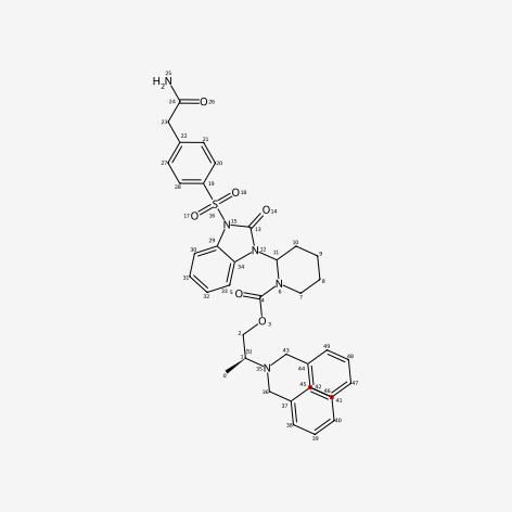 C[C@@H](COC(=O)N1CCCCC1n1c(=O)n(S(=O)(=O)c2ccc(CC(N)=O)cc2)c2ccccc21)N(Cc1ccccc1)Cc1ccccc1